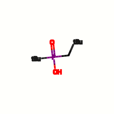 CC(C)(C)CP(=O)(O)C(C)(C)C